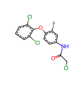 O=C(CCl)Nc1ccc(Oc2c(Cl)cccc2Cl)c(F)c1